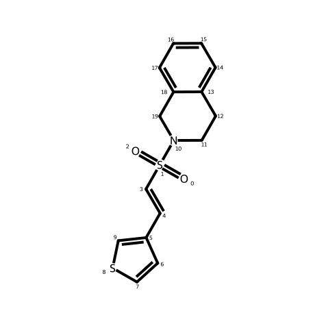 O=S(=O)(/C=C/c1ccsc1)N1CCc2ccccc2C1